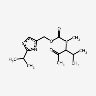 CC(=O)C(C(C)C)N(C)C(=O)OCc1csc(C(C)C)n1